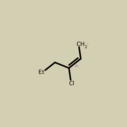 [CH2]/C=C(/Cl)CCC